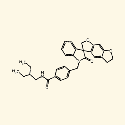 CCC(CC)CNC(=O)c1ccc(CN2C(=O)C3(COc4cc5c(cc43)CCO5)c3ccccc32)cc1